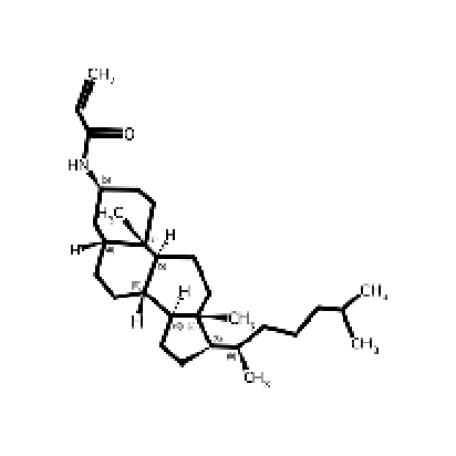 C=CC(=O)N[C@H]1CC[C@@]2(C)[C@H](CC[C@@H]3[C@@H]2CC[C@]2(C)[C@@H]([C@H](C)CCCC(C)C)CC[C@@H]32)C1